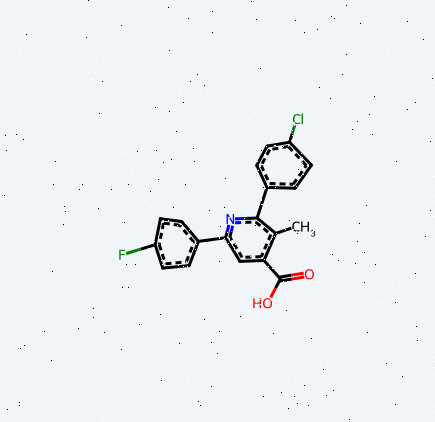 Cc1c(C(=O)O)cc(-c2ccc(F)cc2)nc1-c1ccc(Cl)cc1